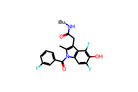 CC[C@H](C)NC(=O)Cc1c(C)n(C(=O)c2cccc(F)c2)c2cc(F)c(O)c(F)c12